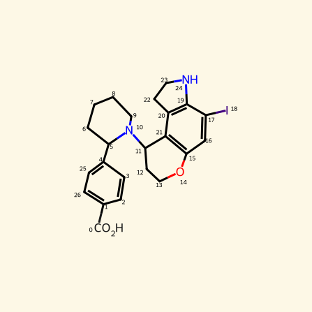 O=C(O)c1ccc(C2CCCCN2C2CCOc3cc(I)c4c(c32)CCN4)cc1